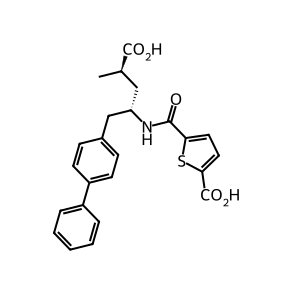 C[C@H](C[C@@H](Cc1ccc(-c2ccccc2)cc1)NC(=O)c1ccc(C(=O)O)s1)C(=O)O